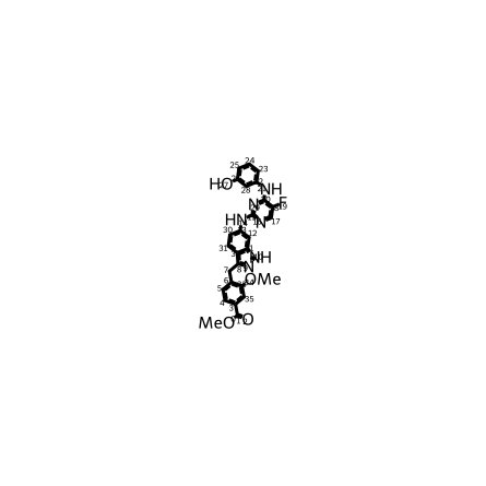 COC(=O)c1ccc(Cc2n[nH]c3cc(Nc4ncc(F)c(Nc5cccc(O)c5)n4)ccc23)c(OC)c1